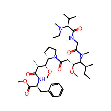 CC[C@H](C)[C@@H]([C@@H](CC(=O)N1CCC[C@H]1[C@H](OC)[C@@H](C)C(=O)N[C@@H](Cc1ccccc1)C(=O)OC)OC)N(C)C(=O)CNC(=O)[C@H](C(C)C)N(C)CC